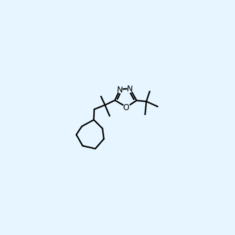 CC(C)(C)c1nnc(C(C)(C)CC2CCCCCC2)o1